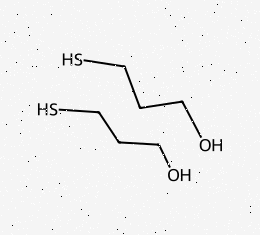 OCCCS.OCCCS